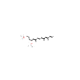 CCOC(=O)/C=C/C(C)=C/C(C)=C/C=C/C(C)=C/[C@@H](O[Si](C)(C)C(C)(C)C)[C@H](C)C[C@@H](C)O[Si](C)(C)C(C)(C)C